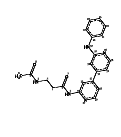 CC(=O)NCCC(=O)Nc1cc(-c2ccnc(Nc3ccccc3)c2)ccn1